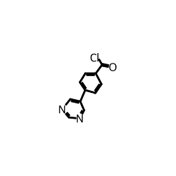 O=C(Cl)c1ccc(-c2cncnc2)cc1